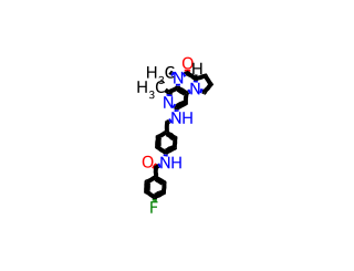 Cc1nc(NCc2ccc(NC(=O)c3ccc(F)cc3)cc2)cc2c1N(C)C(=O)[C@@H]1CCCN21